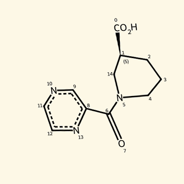 O=C(O)[C@H]1CCCN(C(=O)c2cnccn2)C1